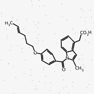 C/C=C/CCCOc1ccc(C(=O)n2c(C)cc3c(CC(=O)O)cccc32)cc1